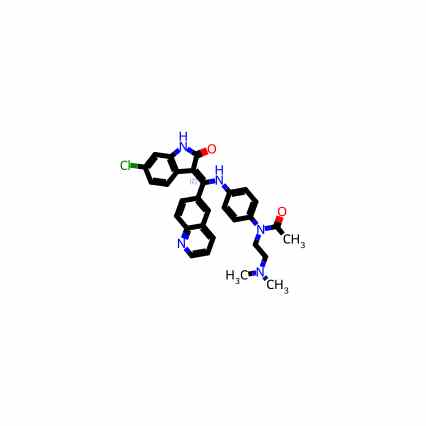 CC(=O)N(CCN(C)C)c1ccc(N/C(=C2\C(=O)Nc3cc(Cl)ccc32)c2ccc3ncccc3c2)cc1